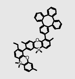 CCc1ccc2c(c1-c1cc3c(cc1C)Oc1c(ccc(C)c1-c1ccc4c(c1)-c1ccccc1-c1ccccc1-c1ccccc1-4)[Si]3(C)C)Oc1cc(C)ccc1[Si]2(C)C